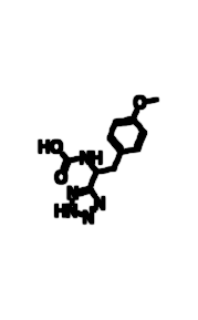 COc1ccc(CC(NC(=O)O)c2nn[nH]n2)cc1